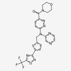 O=C(c1ccc(N(Cc2ccc(-c3noc(C(F)(F)F)n3)s2)c2cnccn2)nn1)N1CCOCC1